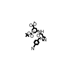 COC(=O)C1CC(NC(=O)Cc2cncn2Cc2ccc(C#N)cc2)CN(C(=O)OC(C)(C)C)C1